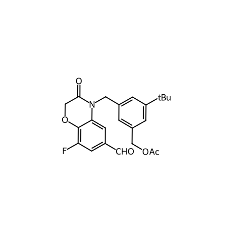 CC(=O)OCc1cc(CN2C(=O)COc3c(F)cc(C=O)cc32)cc(C(C)(C)C)c1